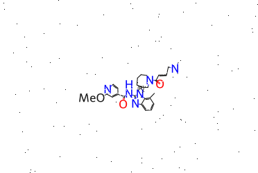 COc1cc(C(=O)Nc2nc3cccc(C)c3n2[C@@H]2CCCCN(C(=O)C=CCN(C)C)C2)ccn1